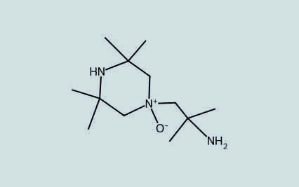 CC(C)(N)C[N+]1([O-])CC(C)(C)NC(C)(C)C1